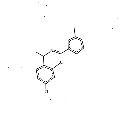 Cc1cccc(C=NC(C)c2ccc(Cl)cc2Cl)c1